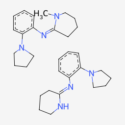 CN1CCCCC1=Nc1ccccc1N1CCCC1.c1ccc(N2CCCC2)c(N=C2CCCCN2)c1